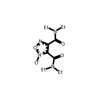 CCN(CC)C(=O)c1no[n+]([O-])c1C(=O)N(CC)CC